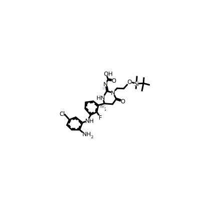 CC(C)(C)[Si](C)(C)OCCN1C(=O)C[C@@](C)(c2cccc(Nc3cc(Cl)ccc3N)c2F)N/C1=N/C(=O)O